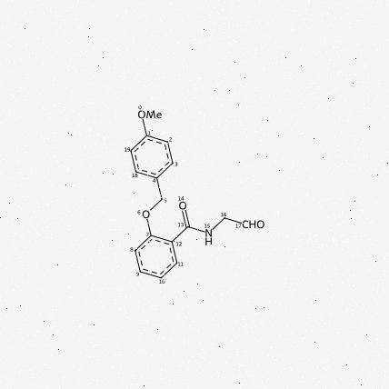 COc1ccc(COc2ccccc2C(=O)NCC=O)cc1